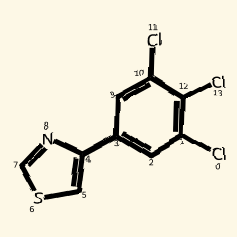 Clc1cc(-c2cs[c]n2)cc(Cl)c1Cl